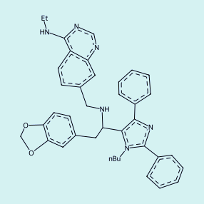 CCCCn1c(-c2ccccc2)nc(-c2ccccc2)c1C(Cc1ccc2c(c1)OCO2)NCc1ccc2c(NCC)ncnc2c1